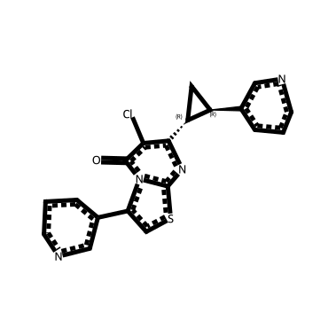 O=c1c(Cl)c([C@@H]2C[C@H]2c2cccnc2)nc2scc(-c3cccnc3)n12